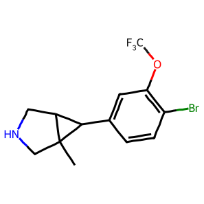 CC12CNCC1C2c1ccc(Br)c(OC(F)(F)F)c1